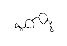 O=C=NC1CCCC(CC2CCCC(N=C=O)CC2)CC1